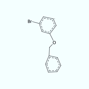 Brc1c[c]cc(OCc2ccccc2)c1